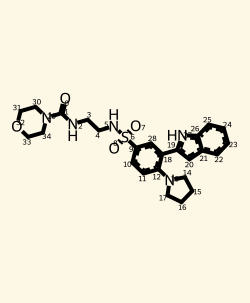 O=C(NCCNS(=O)(=O)c1ccc(N2CCCC2)c(-c2cc3ccccc3[nH]2)c1)N1CCOCC1